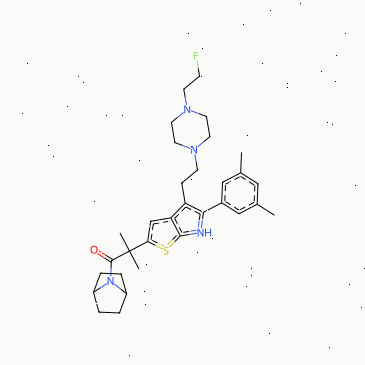 Cc1cc(C)cc(-c2[nH]c3sc(C(C)(C)C(=O)N4C5CCC4CC5)cc3c2CCN2CCN(CCF)CC2)c1